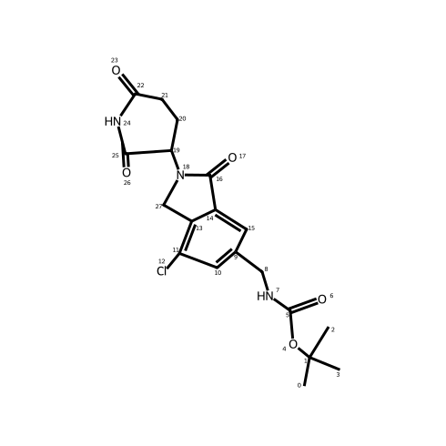 CC(C)(C)OC(=O)NCc1cc(Cl)c2c(c1)C(=O)N(C1CCC(=O)NC1=O)C2